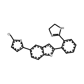 Clc1ccc(-c2ccc3oc(-c4ccccc4C4=NCCN4)cc3c2)s1